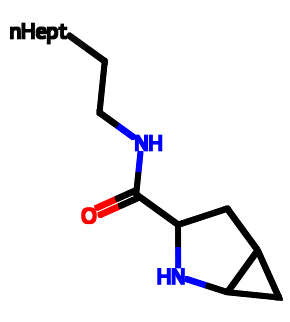 CCCCCCCCCNC(=O)C1CC2CC2N1